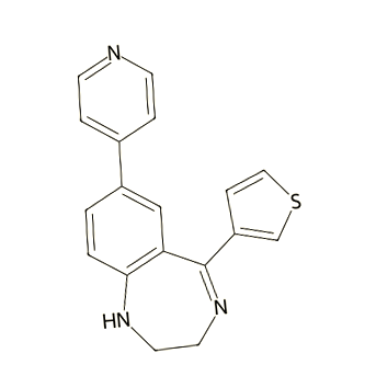 c1cc(-c2ccc3c(c2)C(c2ccsc2)=NCCN3)ccn1